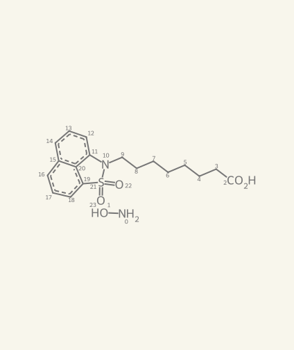 NO.O=C(O)CCCCCCCN1c2cccc3cccc(c23)S1(=O)=O